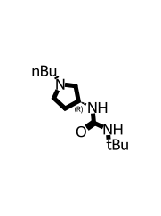 CCCCN1CC[C@@H](NC(=O)NC(C)(C)C)C1